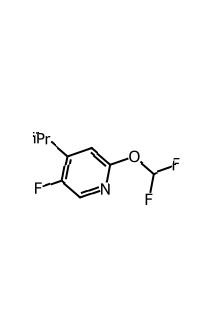 CC(C)c1cc(OC(F)F)ncc1F